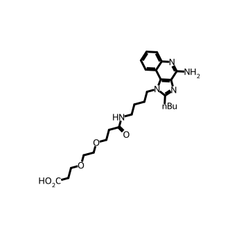 CCCCc1nc2c(N)nc3ccccc3c2n1CCCCNC(=O)CCOCCOCCC(=O)O